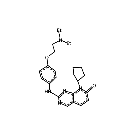 CCN(CC)CCOc1ccc(Nc2ncc3ccc(=O)n(C4CCCC4)c3n2)cc1